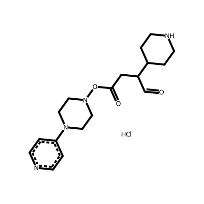 Cl.O=CC(CC(=O)ON1CCN(c2ccncc2)CC1)C1CCNCC1